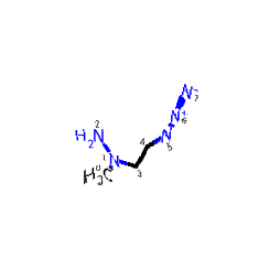 CN(N)CCN=[N+]=[N-]